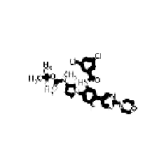 CN(C(=O)OC(C)(C)C)C1CCN(c2cc(F)c(-c3cnc(N4CCOCC4)nc3)cc2NC(=O)c2cc(Cl)cc(Cl)c2)C1